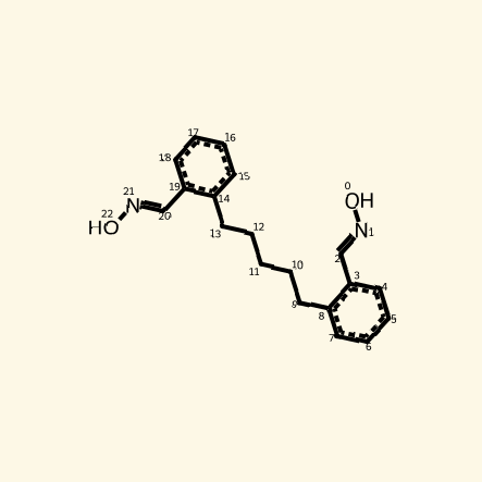 O/N=C/c1ccccc1CCCCCc1ccccc1/C=N/O